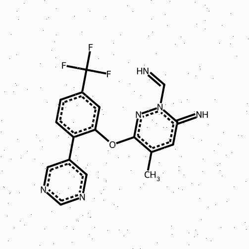 Cc1cc(=N)n(C=N)nc1Oc1cc(C(F)(F)F)ccc1-c1cncnc1